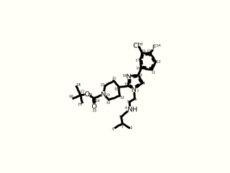 CC(C)CNCCn1cc(-c2ccc(F)c(Cl)c2)nc1C1CCN(C(=O)OC(C)(C)C)CC1